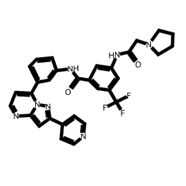 O=C(CN1CCCC1)Nc1cc(C(=O)Nc2cccc(-c3ccnc4cc(-c5ccncc5)nn34)c2)cc(C(F)(F)F)c1